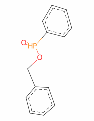 O=[PH](OCc1ccccc1)c1ccccc1